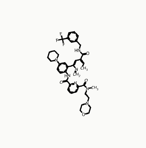 C=N/C(=C\C(=C/C)C(=O)NCc1cccc(C(F)(F)F)c1)c1cc(N2CCCCC2)ccc1NC(=O)c1cccc(C(=O)N(C)CCN2CCOCC2)n1